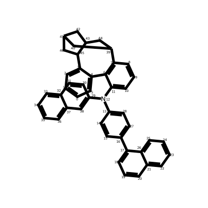 c1ccc2c(c1)-c1c(cccc1N(c1ccc(-c3cccc4ccccc34)cc1)c1ccc3ccccc3c1)C1CC3CC(C1)C2C3